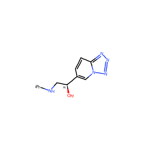 CC(C)NC[C@H](O)c1ccc2nnnn2c1